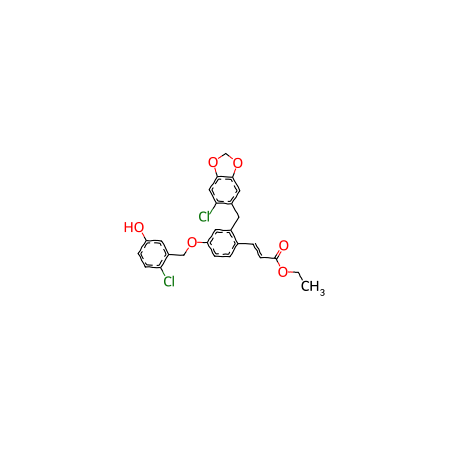 CCOC(=O)C=Cc1ccc(OCc2cc(O)ccc2Cl)cc1Cc1cc2c(cc1Cl)OCO2